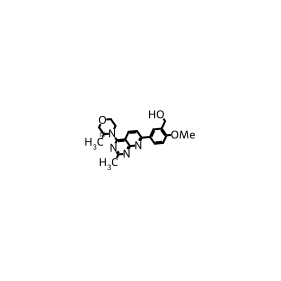 COc1ccc(-c2ccc3c(N4CCOC[C@@H]4C)nc(C)nc3n2)cc1CO